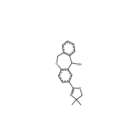 CC1(C)COC(c2ccc3c(c2)C(O)c2ccccc2CO3)=N1